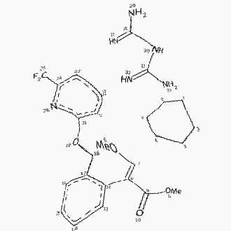 C1CCCCC1.CO/C=C(/C(=O)OC)c1ccccc1COc1cccc(C(F)(F)F)n1.N=C(N)NC(=N)N